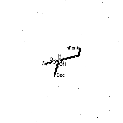 CCCCC/C=C\C/C=C\CCCCCCCC(=O)NC(COC(=O)CCCN(C)C)C(O)/C=C/CCCCCCCCCCCCC